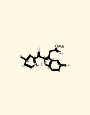 COC(=O)Cc1c(C(=O)c2cc(C)ccn2)[nH]c2ccc(F)cc12